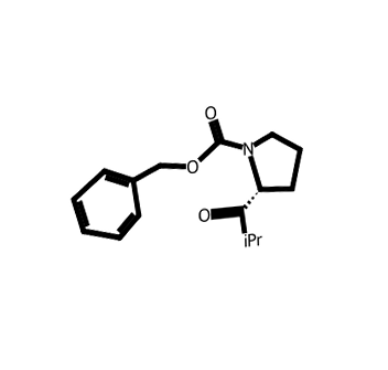 CC(C)C(=O)[C@H]1CCCN1C(=O)OCc1ccccc1